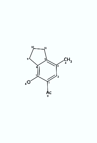 CC(=O)c1cc(C)c2c(c1[O])CCC2